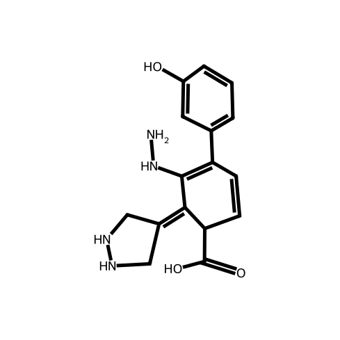 NNC1=C(c2cccc(O)c2)C=CC(C(=O)O)C1=C1CNNC1